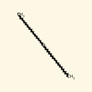 CCCCCCCCCCCCCCCCCCCCCCCCCCC=COC=CCCCCCCCCCCCCCCCCCCCCCCCCCC